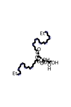 CC/C=C\C/C=C\C/C=C\C/C=C\C/C=C\C/C=C\CCC(=O)OC[C@H](COP(=O)(O)OC[C@@H](O)CO)OC(=O)CCC/C=C\C/C=C\C/C=C\C/C=C\C/C=C\CC